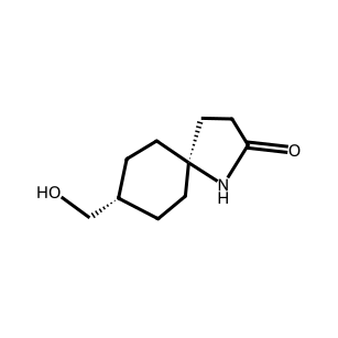 O=C1CC[C@]2(CC[C@@H](CO)CC2)N1